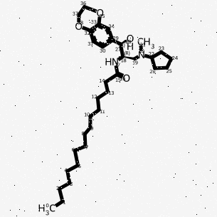 CCCCCCCCCCCCCCCC(=O)N[C@H](CN(C)C1CCCC1)[C@H](O)c1ccc2c(c1)OCCO2